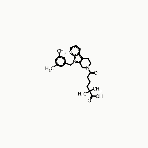 Cc1cc(C)cc(Cn2c3c(c4cccnc42)CCN(C(=O)CCCC(C)(C)C(=O)O)C3)c1